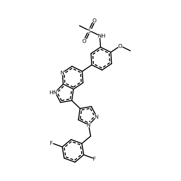 COc1ccc(-c2cnc3[nH]cc(-c4cnn(Cc5cc(F)ccc5F)c4)c3c2)cc1NS(C)(=O)=O